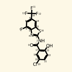 O=C(Nc1nc2c(F)cc(C(F)(F)F)cc2s1)c1cc(Cl)ccc1O